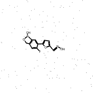 O/N=C/c1ccc(-c2cc3c(cc2F)COB3O)o1